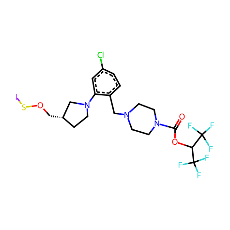 O=C(OC(C(F)(F)F)C(F)(F)F)N1CCN(Cc2ccc(Cl)cc2N2CC[C@H](COSI)C2)CC1